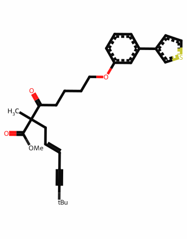 COC(=O)C(C)(CC=CC#CC(C)(C)C)C(=O)CCCCOc1cccc(-c2ccsc2)c1